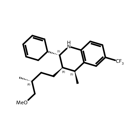 COC[C@H](C)CC[C@@H]1[C@H](C)c2cc(C(F)(F)F)ccc2N[C@H]1C1C=CC=CC1